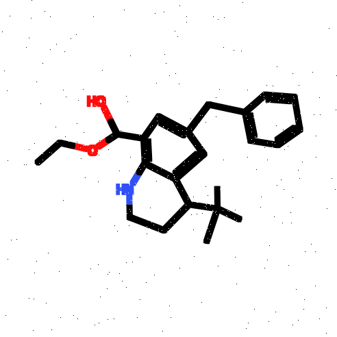 CCOC(O)c1cc(Cc2ccccc2)cc2c1NCCC2C(C)(C)C